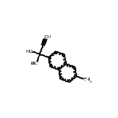 C#CC(O)(c1ccc2cc(C)ccc2c1)C(C)(C)C